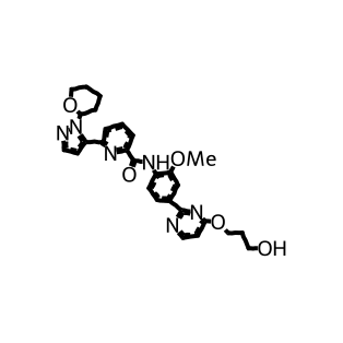 COc1cc(-c2nccc(OCCCO)n2)ccc1NC(=O)c1cccc(-c2ccnn2C2CCCCO2)n1